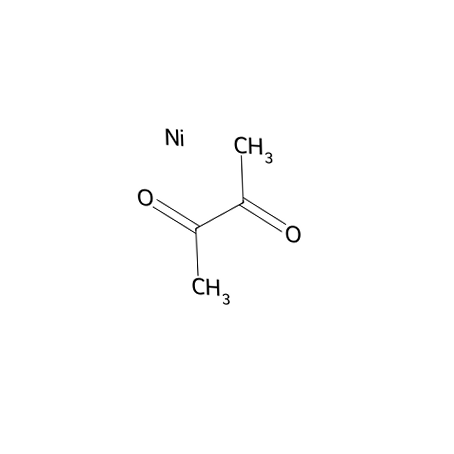 CC(=O)C(C)=O.[Ni]